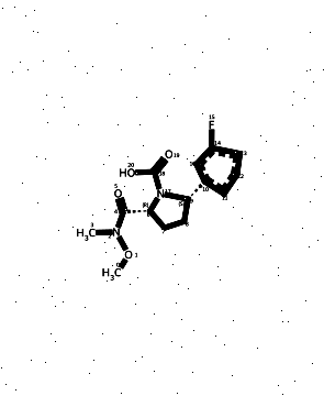 CON(C)C(=O)[C@H]1CC[C@@H](c2cccc(F)c2)N1C(=O)O